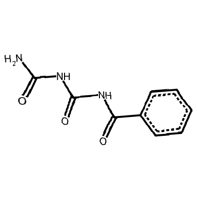 NC(=O)NC(=O)NC(=O)c1ccccc1